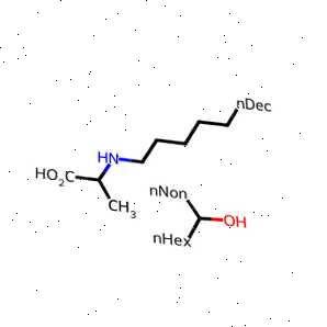 CCCCCCCCCC(O)CCCCCC.CCCCCCCCCCCCCCCNC(C)C(=O)O